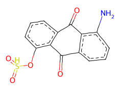 Nc1cccc2c1C(=O)c1cccc(O[SH](=O)=O)c1C2=O